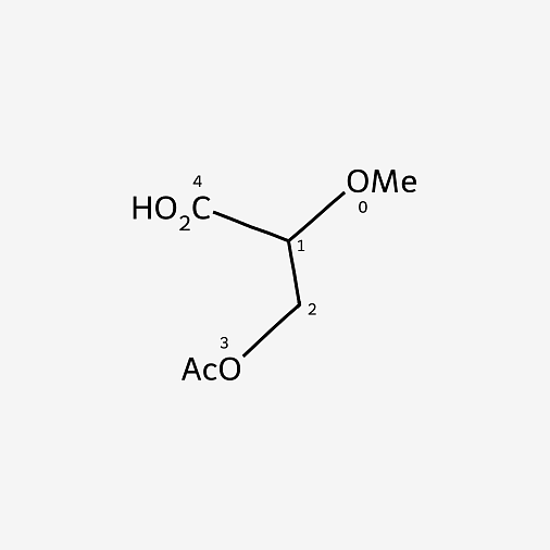 COC(COC(C)=O)C(=O)O